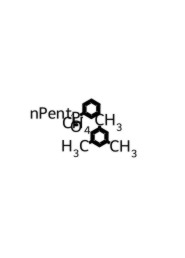 C.CCCCC[P](=O)c1ccccc1.Cc1cc(C)cc(C)c1